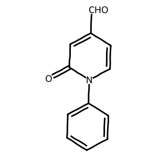 O=Cc1ccn(-c2ccccc2)c(=O)c1